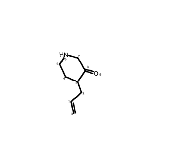 C=CCC1CCNCC1=O